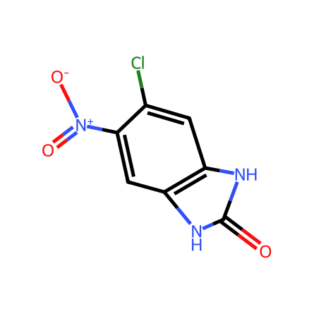 O=c1[nH]c2cc(Cl)c([N+](=O)[O-])cc2[nH]1